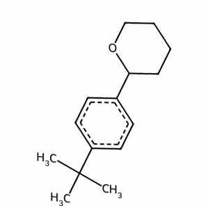 CC(C)(C)c1ccc(C2CCCCO2)cc1